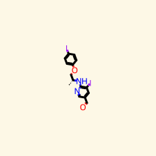 C[C@H](COc1ccc(I)cc1)Nc1ncc(C=O)cc1I